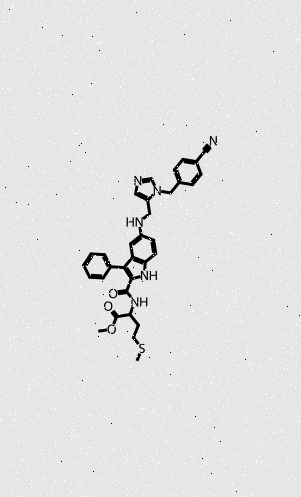 COC(=O)C(CCSC)NC(=O)c1[nH]c2ccc(NCc3cncn3Cc3ccc(C#N)cc3)cc2c1-c1ccccc1